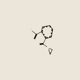 NC(=O)c1ccccc1C(=O)N1CC1